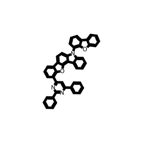 c1ccc(-c2cc(-c3cccc4c3oc3c4ccc4c3c3ccccc3n4-c3cccc4c3oc3ccccc34)nc(-c3ccccc3)n2)cc1